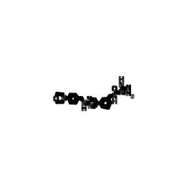 N=C(N)NC(=O)NCc1cccc(-c2cnc(NCc3ccc(N4CCOCC4)cc3)nc2)c1